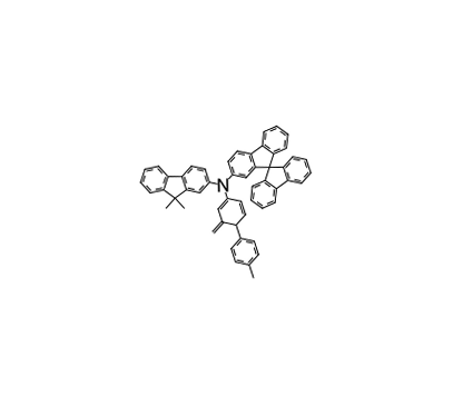 C=C1C=C(N(c2ccc3c(c2)C(C)(C)c2ccccc2-3)c2ccc3c(c2)C2(c4ccccc4-c4ccccc42)c2ccccc2-3)C=CC1c1ccc(C)cc1